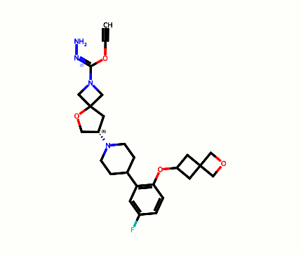 C#CO/C(=N\N)N1CC2(C[C@H](N3CCC(c4cc(F)ccc4OC4CC5(COC5)C4)CC3)CO2)C1